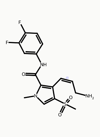 Cn1cc(S(C)(=O)=O)c(/C=C\CN)c1C(=O)Nc1ccc(F)c(F)c1